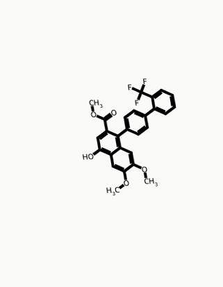 COC(=O)c1cc(O)c2cc(OC)c(OC)cc2c1-c1ccc(-c2ccccc2C(F)(F)F)cc1